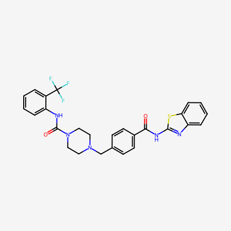 O=C(Nc1nc2ccccc2s1)c1ccc(CN2CCN(C(=O)Nc3ccccc3C(F)(F)F)CC2)cc1